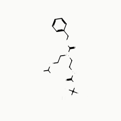 CC(C)OCCN(CCNC(=O)OC(C)(C)C)C(=O)OCc1ccccc1